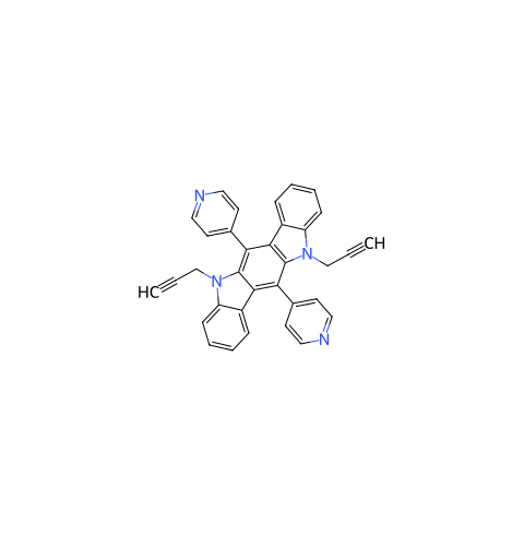 C#CCn1c2ccccc2c2c(-c3ccncc3)c3c(c(-c4ccncc4)c21)c1ccccc1n3CC#C